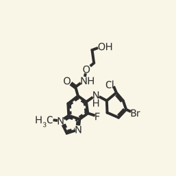 Cn1cnc2c(F)c(NC3CC=C(Br)C=C3Cl)c(C(=O)NOCCO)cc21